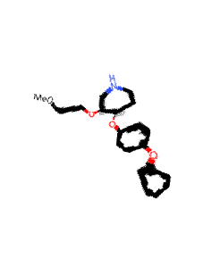 COCCO[C@H]1CNCC[C@@H]1Oc1ccc(Oc2ccccc2)cc1